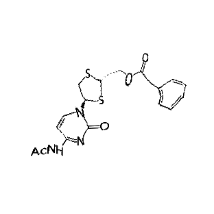 CC(=O)Nc1ccn([C@H]2CS[C@H](COC(=O)c3ccccc3)S2)c(=O)n1